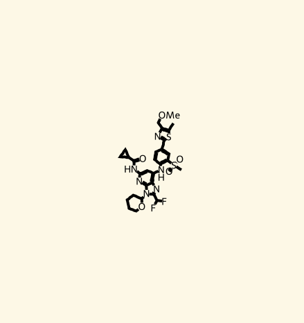 COCc1nc(-c2ccc(Nc3cc(NC(=O)C4CC4)nc4c3nc(C(F)F)n4C3CCCCO3)c(S(C)(=O)=O)c2)sc1C